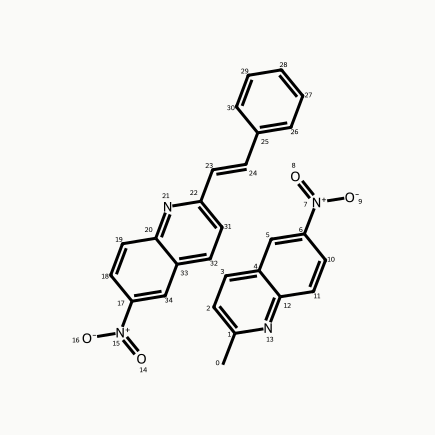 Cc1ccc2cc([N+](=O)[O-])ccc2n1.O=[N+]([O-])c1ccc2nc(C=Cc3ccccc3)ccc2c1